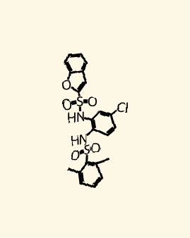 Cc1cccc(C)c1S(=O)(=O)Nc1ccc(Cl)cc1NS(=O)(=O)c1cc2ccccc2o1